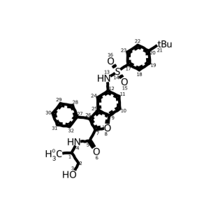 CC(CO)NC(=O)c1oc2ccc(NS(=O)(=O)c3ccc(C(C)(C)C)cc3)cc2c1-c1ccccc1